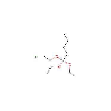 CCCC[Si](OCC)(OCC)OCC.F